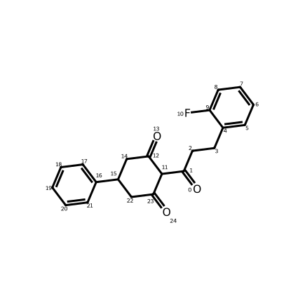 O=C(CCc1ccccc1F)C1C(=O)CC(c2ccccc2)CC1=O